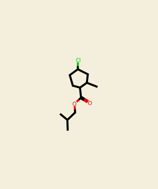 CC(C)COC(=O)C1CCC(Cl)CC1C